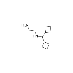 NCCN[C](C1CCC1)C1CCC1